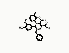 COc1cc(C2N(Cc3ccccc3)CC(C(=O)O)=C(C(=O)O)N2c2cccc(C)c2)ccc1O